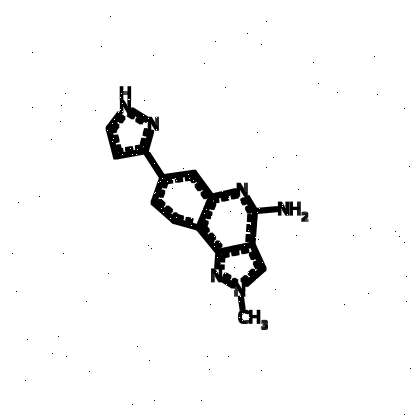 Cn1cc2c(N)nc3cc(-c4cc[nH]n4)ccc3c2n1